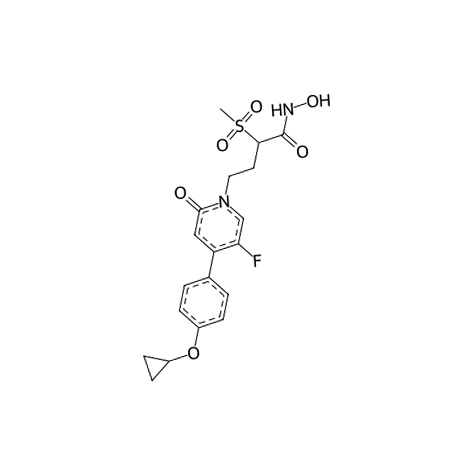 CS(=O)(=O)C(CCn1cc(F)c(-c2ccc(OC3CC3)cc2)cc1=O)C(=O)NO